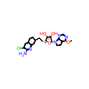 COc1ncnc2c1ccn2[C@@H]1O[C@H](CCc2ccc3cc(Cl)c(N)nc3c2)[C@@H](O)[C@H]1O